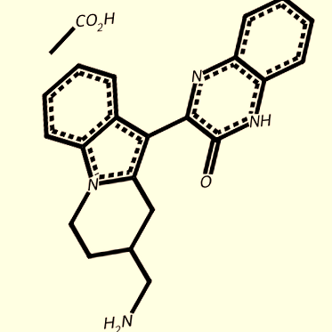 CC(=O)O.NCC1CCn2c(c(-c3nc4ccccc4[nH]c3=O)c3ccccc32)C1